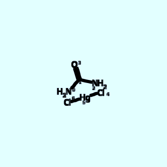 NC(N)=O.[Cl][Hg][Cl]